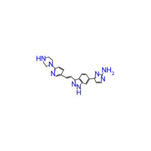 Nc1nccc(-c2ccc3c(/C=C/c4ccc(N5CCNCC5)nc4)n[nH]c3c2)n1